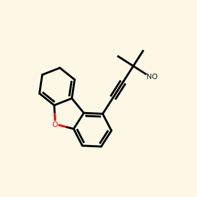 CC(C)(C#Cc1cccc2oc3c(c12)=CCCC=3)N=O